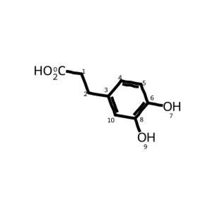 O=C(O)[CH]Cc1ccc(O)c(O)c1